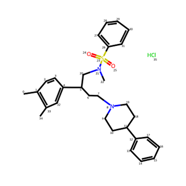 Cc1ccc(C(CCN2CCC(c3ccccc3)CC2)CN(C)S(=O)(=O)c2ccccc2)cc1C.Cl